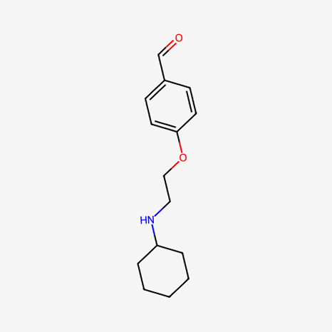 O=Cc1ccc(OCCNC2CCCCC2)cc1